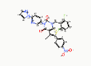 Cc1c(-c2ccc([N+](=O)[O-])cc2)sc2c1c(=O)n(-c1ccc(-n3cccn3)nc1)c(=O)n2Cc1c(F)cccc1F